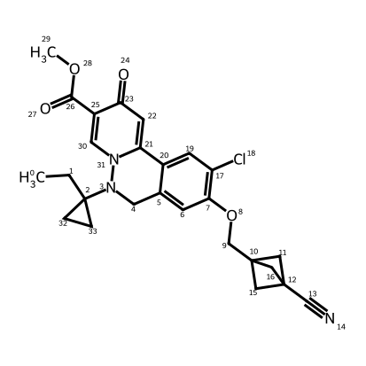 CCC1(N2Cc3cc(OCC45CC(C#N)(C4)C5)c(Cl)cc3-c3cc(=O)c(C(=O)OC)cn32)CC1